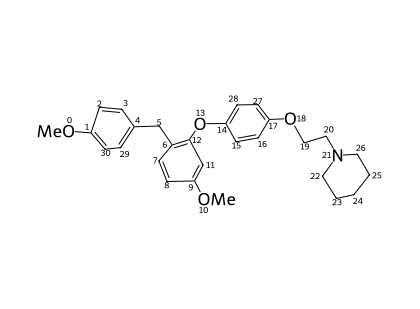 COc1ccc(Cc2ccc(OC)cc2Oc2ccc(OCCN3CCCCC3)cc2)cc1